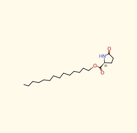 CCCCCCCCCCCCCCOC(=O)[C@@H]1CCC(=O)N1